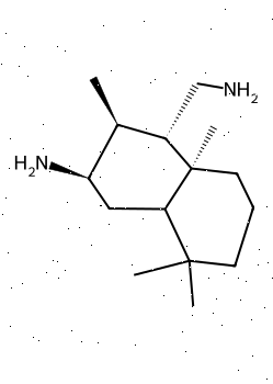 C[C@@H]1[C@H](N)CC2C(C)(C)CCC[C@]2(C)[C@H]1CN